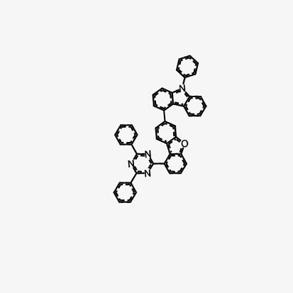 c1ccc(-c2nc(-c3ccccc3)nc(-c3cccc4oc5cc(-c6cccc7c6c6ccccc6n7-c6ccccc6)ccc5c34)n2)cc1